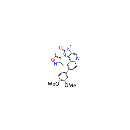 COc1ccc(-c2ccc3ncc4c(c3c2)n(-c2c(C)noc2C)c(=O)n4C)cc1OC